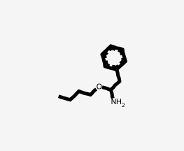 CCCCOC(N)Cc1cc[c]cc1